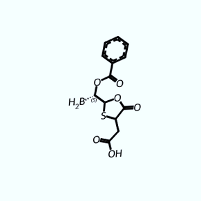 B[C@H](OC(=O)c1ccccc1)C1OC(=O)C(CC(=O)O)S1